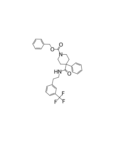 O=C(OCc1ccccc1)N1CCC(C(=O)NCCc2cccc(C(F)(F)F)c2)(c2ccccc2)CC1